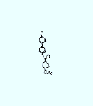 CC(=O)OC1CCC(C(=O)Oc2ccc(-c3ccc(F)cc3)cc2)CC1